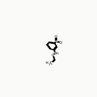 CCOBc1cccc([N+](=O)[O-])c1